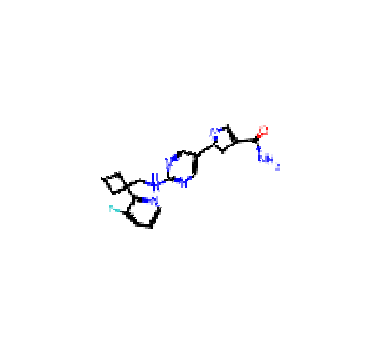 NC(=O)C1=CN=C(c2cnc(NCC3(c4ncccc4F)CCC3)nc2)C1